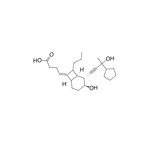 CCCC1C(=CCCC(=O)O)[C@@H]2CC[C@H](O)[C@@H](C#CC(C)(O)C3CCCC3)[C@H]12